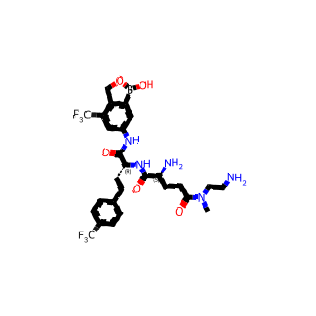 CN(CCN)C(=O)CC[C@H](N)C(=O)N[C@H](CCc1ccc(C(F)(F)F)cc1)C(=O)Nc1cc2c(c(C(F)(F)F)c1)COB2O